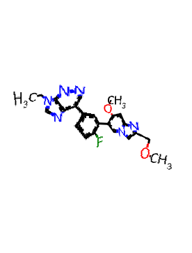 CCn1cnc2c(-c3ccc(F)c(-c4cn5cc(COC)nc5cc4OC)c3)cnnc21